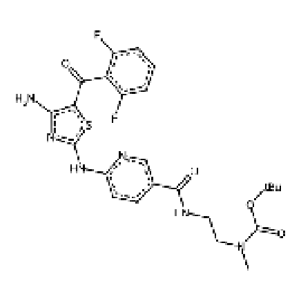 CN(CCNC(=O)c1ccc(Nc2nc(N)c(C(=O)c3c(F)cccc3F)s2)nc1)C(=O)OC(C)(C)C